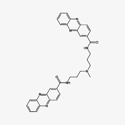 CN(CCCNC(=O)c1ccc2nc3ccccc3nc2c1)CCCNC(=O)c1ccc2nc3ccccc3nc2c1